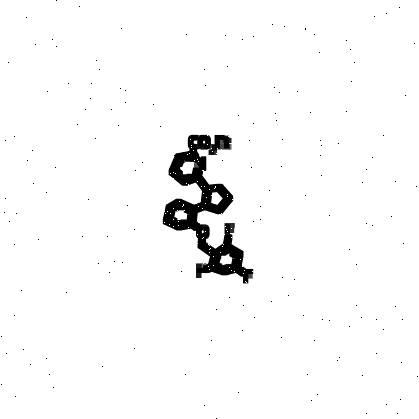 CCOC(=O)c1cccc(C2=C(c3ccccc3OCc3c(F)cc(F)cc3F)CCC2)n1